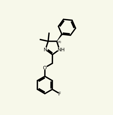 CC1(C)N=C(COc2cccc(F)c2)N[C@@H]1c1ccccc1